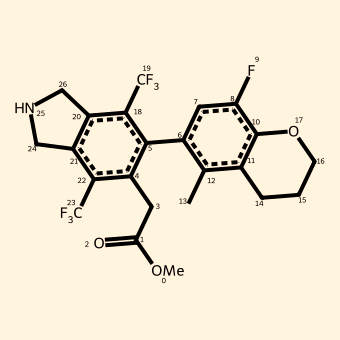 COC(=O)Cc1c(-c2cc(F)c3c(c2C)CCCO3)c(C(F)(F)F)c2c(c1C(F)(F)F)CNC2